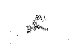 O=C(O)C(CCCc1ccc([C@@H]2[C@@H](CC[C@H](O)c3ccc(F)cc3)C(=O)N2c2ccc(CCCO)cc2)cc1)C(=O)O